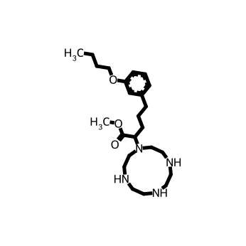 CCCCOc1cccc(CCCC(C(=O)OC)N2CCNCCNCCNCC2)c1